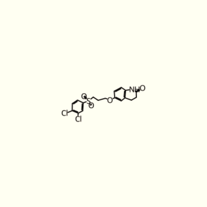 O=C1CCc2cc(OCCCS(=O)(=O)c3ccc(Cl)c(Cl)c3)ccc2N1